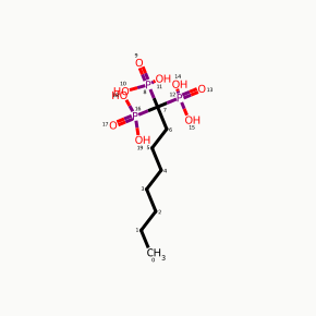 CCCCCCCC(P(=O)(O)O)(P(=O)(O)O)P(=O)(O)O